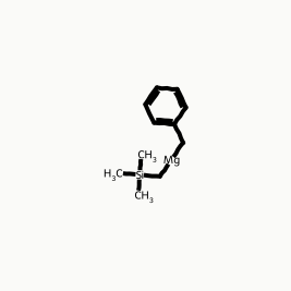 C[Si](C)(C)[CH2][Mg][CH2]c1ccccc1